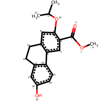 COC(=O)c1cc2c(cc1OC(C)C)CCc1cc(O)ccc1-2